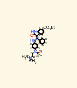 CCOC(=O)c1ccc2c(c1)NC(=O)/C2=C(\Nc1ccc(N(CCN(C)C)C(=O)C(C)C)cc1)c1ccccc1